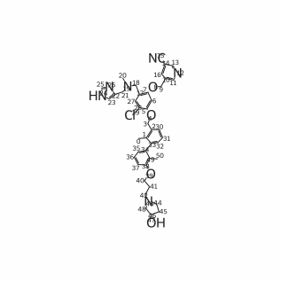 Cc1c(COc2cc(OCc3cncc(C#N)c3)c(CN(C)Cc3c[nH]cn3)cc2Cl)cccc1-c1cccc(OCCCN2CC[C@@H](O)C2)c1C